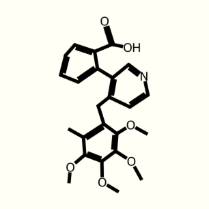 COc1c(C)c(Cc2ccncc2-c2ccccc2C(=O)O)c(OC)c(OC)c1OC